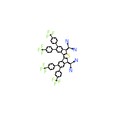 N#CC(C#N)=C1c2cc(-c3ccc(C(F)(F)F)cc3)c(-c3ccc(C(F)(F)F)cc3)cc2-c2c1sc1c2-c2cc(-c3ccc(C(F)(F)F)cc3)c(-c3ccc(C(F)(F)F)cc3)cc2C1=C(C#N)C#N